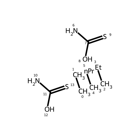 CC.CCC.CCCC.NC(O)=S.NC(O)=S